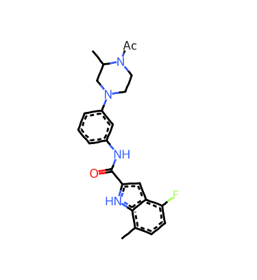 CC(=O)N1CCN(c2cccc(NC(=O)c3cc4c(F)ccc(C)c4[nH]3)c2)CC1C